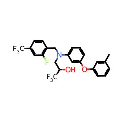 Cc1cccc(Oc2cccc(N(Cc3ccc(C(F)(F)F)cc3F)CC(O)C(F)(F)F)c2)c1